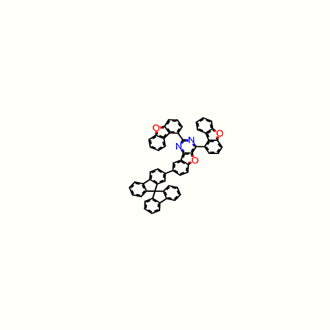 c1ccc2c(c1)-c1ccccc1C21c2ccccc2-c2ccc(-c3ccc4oc5c(-c6cccc7oc8ccccc8c67)nc(-c6cccc7oc8ccccc8c67)nc5c4c3)cc21